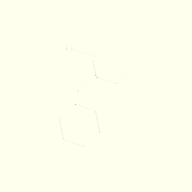 C1CCCCC1.C=CC(=O)OCl